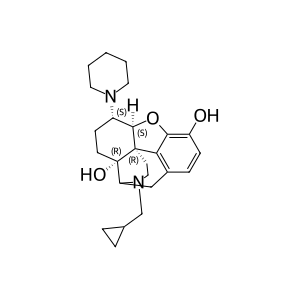 Oc1ccc2c3c1O[C@@H]1[C@@H](N4CCCCC4)CC[C@]4(O)C(C2)N(CC2CC2)CC[C@@]314